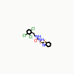 O=C(NCCc1c(Cl)ccc(Cl)c1Cl)NSc1nc2ccccc2s1